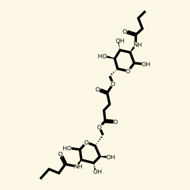 CCCC(=O)N[C@H]1C(O)O[C@H](COC(=O)CCC(=O)OC[C@H]2OC(O)[C@H](NC(=O)CCC)[C@@H](O)[C@@H]2O)[C@@H](O)[C@@H]1O